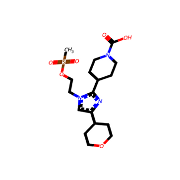 CS(=O)(=O)OCCn1cc(C2CCOCC2)nc1C1CCN(C(=O)O)CC1